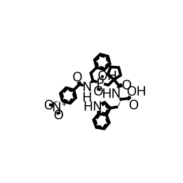 O=C(NC(Cc1ccccc1)P(=O)(O)CC1(C(=O)N[C@@H](Cc2c[nH]c3ccccc23)C(=O)O)CCCC1)c1ccc([N+](=O)[O-])cc1